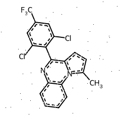 Cc1ccc2c(-c3c(Cl)cc(C(F)(F)F)cc3Cl)nc3ccccc3n12